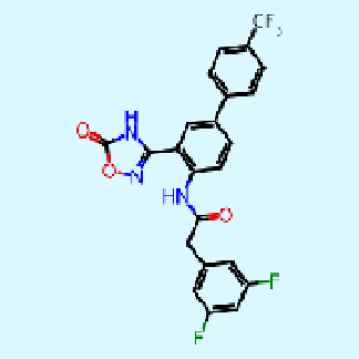 O=C(Cc1cc(F)cc(F)c1)Nc1ccc(-c2ccc(C(F)(F)F)cc2)cc1-c1noc(=O)[nH]1